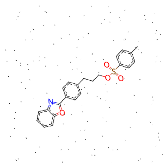 Cc1ccc(S(=O)(=O)OCCCc2ccc(-c3nc4ccccc4o3)cc2)cc1